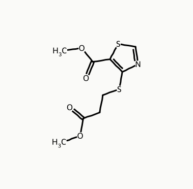 COC(=O)CCSc1ncsc1C(=O)OC